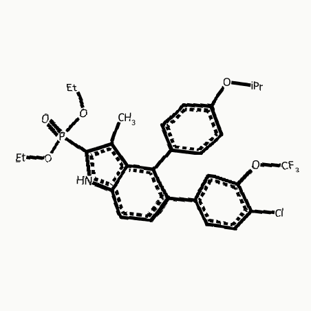 CCOP(=O)(OCC)c1[nH]c2ccc(-c3ccc(Cl)c(OC(F)(F)F)c3)c(-c3ccc(OC(C)C)cc3)c2c1C